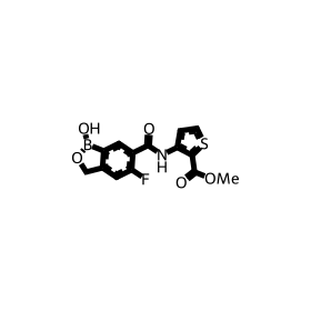 COC(=O)c1sccc1NC(=O)c1cc2c(cc1F)COB2O